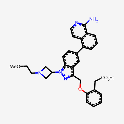 CCOC(=O)Cc1ccccc1OCc1nn(C2CN(CCOC)C2)c2ccc(-c3cccc4c(N)nccc34)cc12